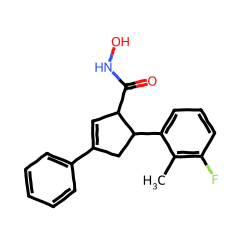 Cc1c(F)cccc1C1CC(c2ccccc2)=CC1C(=O)NO